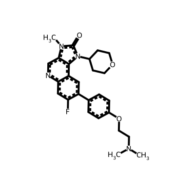 CN(C)CCOc1ccc(-c2cc3c(cc2F)ncc2c3n(C3CCOCC3)c(=O)n2C)cc1